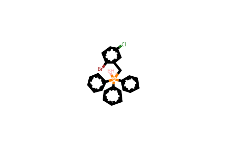 BP(Cc1cc(Cl)ccc1Br)(c1ccccc1)(c1ccccc1)c1ccccc1